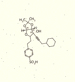 CC1(C)O[C@H]2OC(CCc3ccc(S(=O)(=O)O)cc3)[C@](O)(C#CCC3CCCCC3)[C@H]2O1